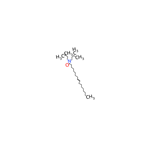 CCCCCCCCC=CCCCCCCCC(=O)N(CCC(C)C)CCC(C)C